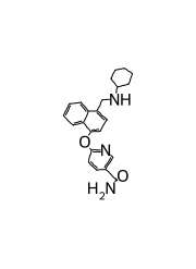 NC(=O)c1ccc(Oc2ccc(CNC3CCCCC3)c3ccccc23)nc1